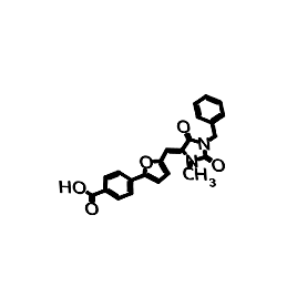 CN1C(=O)N(Cc2ccccc2)C(=O)/C1=C/c1ccc(-c2ccc(C(=O)O)cc2)o1